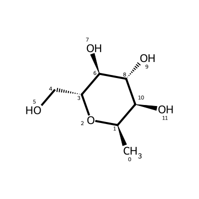 C[C@H]1O[C@H](CO)[C@@H](O)[C@H](O)[C@H]1O